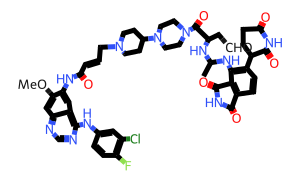 COc1cc2ncnc(Nc3ccc(F)c(Cl)c3)c2cc1NC(=O)/C=C/CN1CCC(N2CCN(C(=O)C(CC=O)NC(C)Nc3c(C4CCC(=O)NC4=O)ccc4c3C(=O)NC4=O)CC2)CC1